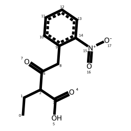 CCC(C(=O)O)C(=O)Cc1ccccc1[N+](=O)[O-]